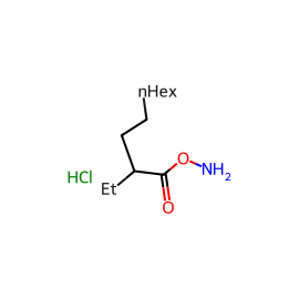 CCCCCCCCC(CC)C(=O)ON.Cl